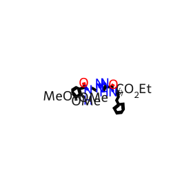 CCOC(=O)[C@H](CCc1ccccc1)NC(=O)c1cn(CCNC(=O)c2ccc(OC)c(OC)c2OC)nn1